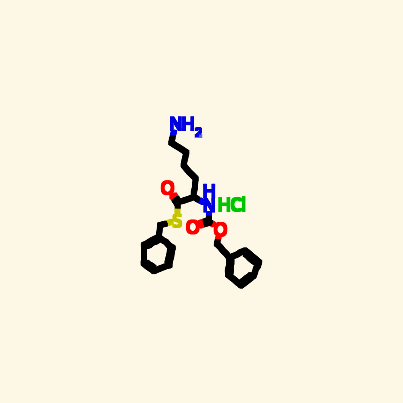 Cl.NCCCCC(NC(=O)OCc1ccccc1)C(=O)SCc1ccccc1